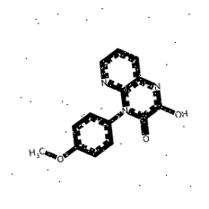 COc1ccc(-n2c(=O)c(O)nc3cccnc32)cc1